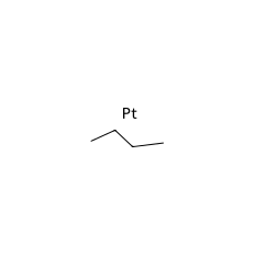 CCCC.[Pt]